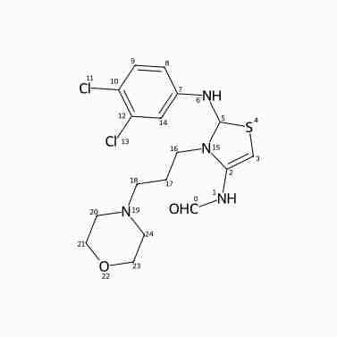 O=CNC1=CSC(Nc2ccc(Cl)c(Cl)c2)N1CCCN1CCOCC1